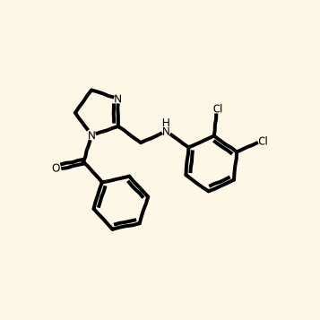 O=C(c1ccccc1)N1CCN=C1CNc1cccc(Cl)c1Cl